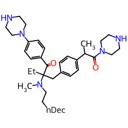 CCCCCCCCCCCCN(C)C(CC)(Cc1ccc(C(C)C(=O)N2CCNCC2)cc1)C(=O)c1ccc(N2CCNCC2)cc1